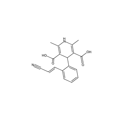 CC1=C(C(=O)O)C(c2ccccc2/C=C/C#N)C(C(=O)O)=C(C)N1